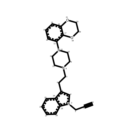 C#CCn1cc(CCN2CCN(c3cccc4c3OCCO4)CC2)c2ccccc21